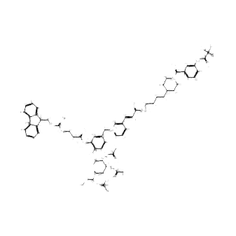 COC(=O)[C@H]1O[C@@H](Oc2ccc(C[n+]3cccc(/C=C/C(=O)NCCCCC4CCN(C(=O)c5cccc(OC(=O)C(F)(F)F)c5)CC4)c3)cc2NC(=O)CCNC(=O)OCC2c3ccccc3-c3ccccc32)[C@H](OC(C)=O)[C@@H](OC(C)=O)[C@@H]1OC(C)=O